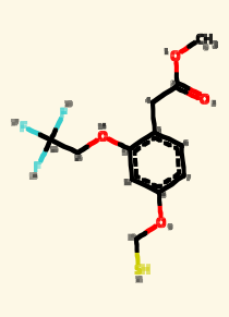 COC(=O)Cc1ccc(OCS)cc1OCC(F)(F)F